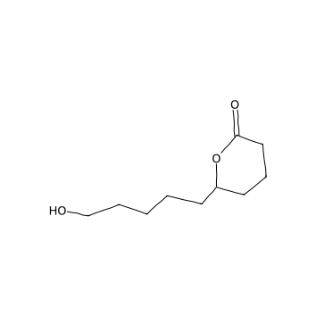 O=C1CCCC(CCCCCO)O1